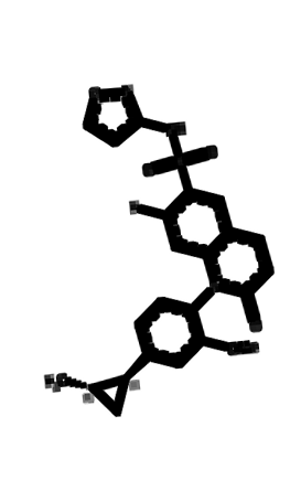 COc1cc([C@H]2C[C@@H]2C(F)(F)F)ccc1-n1c(=O)ccc2cc(S(=O)(=O)Nc3ccon3)c(F)cc21